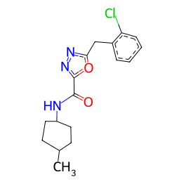 CC1CCC(NC(=O)c2nnc(Cc3ccccc3Cl)o2)CC1